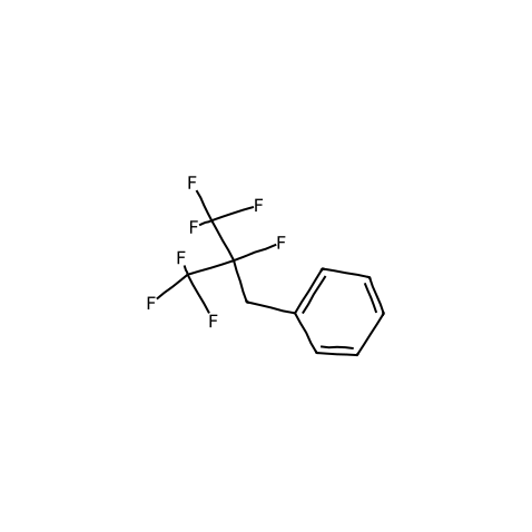 FC(F)(F)C(F)(Cc1ccccc1)C(F)(F)F